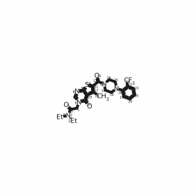 CCN(CC)C(=O)Cn1cnc2sc(C(=O)N3CCN(c4ccccc4C(F)(F)F)CC3)c(C)c2c1=O